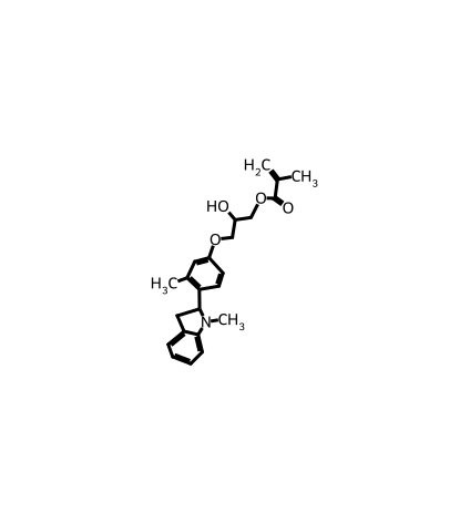 C=C(C)C(=O)OCC(O)COc1ccc(C2Cc3ccccc3N2C)c(C)c1